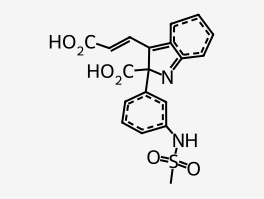 CS(=O)(=O)Nc1cccc(C2(C(=O)O)N=c3ccccc3=C2C=CC(=O)O)c1